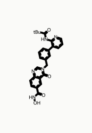 CC(C)(C)C(=O)Nc1ncccc1-c1cccc(Cn2cnc3ccc(C(=O)NO)cc3c2=O)c1